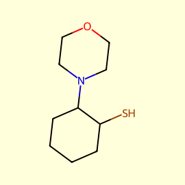 SC1CCCCC1N1CCOCC1